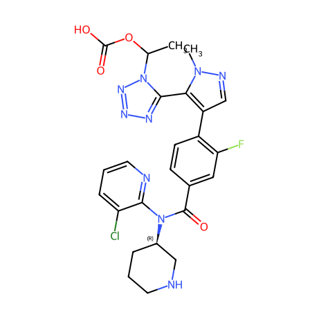 CC(OC(=O)O)n1nnnc1-c1c(-c2ccc(C(=O)N(c3ncccc3Cl)[C@@H]3CCCNC3)cc2F)cnn1C